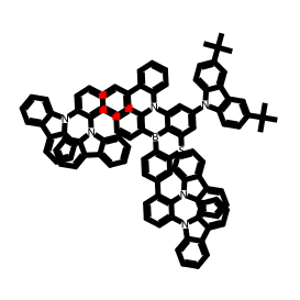 CC(C)(C)c1ccc2c(c1)c1cc(C(C)(C)C)ccc1n2-c1cc2c3c(c1)N(c1ccccc1-c1ccccc1)c1cc(-c4cccc(-n5c6ccccc6c6ccccc65)c4-n4c5ccccc5c5ccccc54)ccc1B3c1ccc(-c3cccc(-n4c5ccccc5c5ccccc54)c3-n3c4ccccc4c4ccccc43)cc1S2